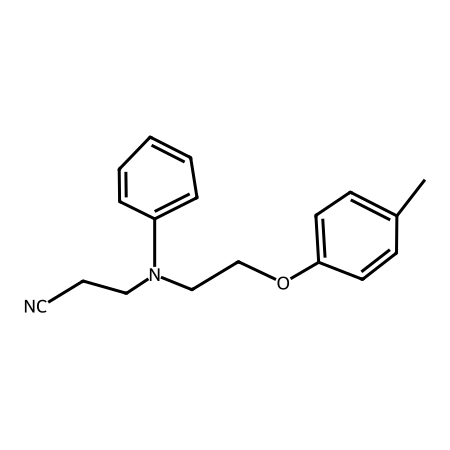 Cc1ccc(OCCN(CCC#N)c2ccccc2)cc1